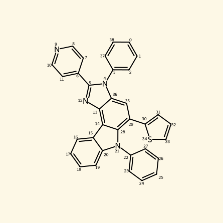 c1ccc(-n2c(-c3ccncc3)nc3c4c5ccccc5n(-c5ccccc5)c4c(-c4cccs4)cc32)cc1